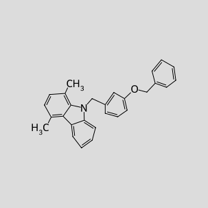 Cc1ccc(C)c2c1c1ccccc1n2Cc1cccc(OCc2ccccc2)c1